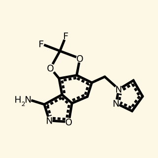 Nc1noc2cc(Cn3cccn3)c3c(c12)OC(F)(F)O3